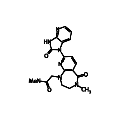 CNC(=O)CN1CCN(C)C(=O)c2ccc(-n3c(=O)[nH]c4ncccc43)nc21